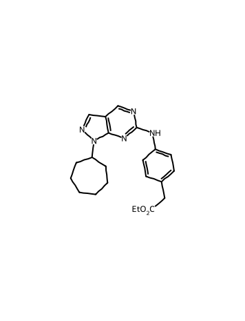 CCOC(=O)Cc1ccc(Nc2ncc3cnn(C4CCCCCC4)c3n2)cc1